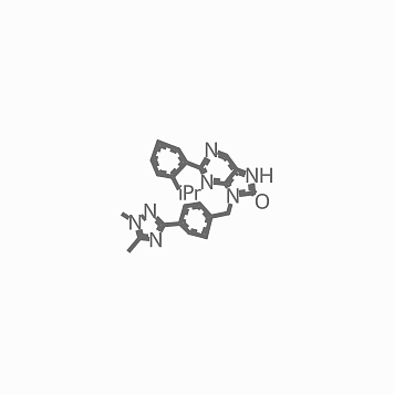 Cc1nc(-c2ccc(Cn3c(=O)[nH]c4cnc(-c5ccccc5C(C)C)nc43)cc2)nn1C